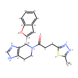 Cc1nnc(CCC(=O)N2CCc3[nH]cnc3[C@@H]2c2cc3ccccc3o2)s1